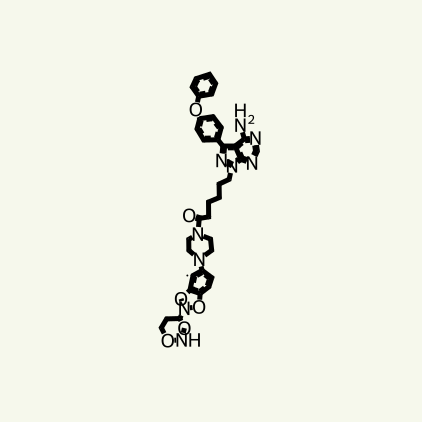 Nc1ncnc2c1c(-c1ccc(Oc3ccccc3)cc1)nn2CCCCCC(=O)N1CCN(c2[c]c3c(cc2)ON(C2CCONO2)O3)CC1